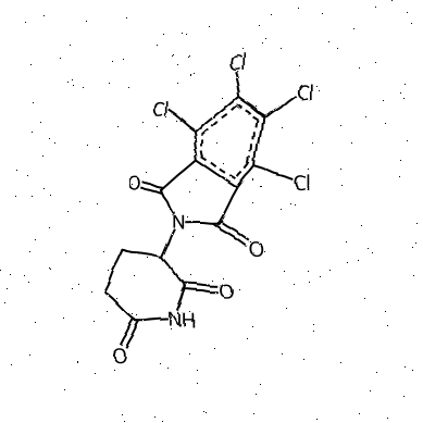 O=C1CCC(N2C(=O)c3c(Cl)c(Cl)c(Cl)c(Cl)c3C2=O)C(=O)N1